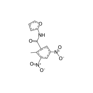 Cc1c(C(=O)Nc2ccco2)cc([N+](=O)[O-])cc1[N+](=O)[O-]